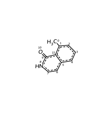 Cc1cccc2cc[nH]c(=O)c12